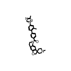 CC1=NCN(c2ccc(-c3ccc(C(=O)N4CCc5cc6c(cc54)C4(CCN(C)CC4)CO6)cc3)c(C)c2)O1